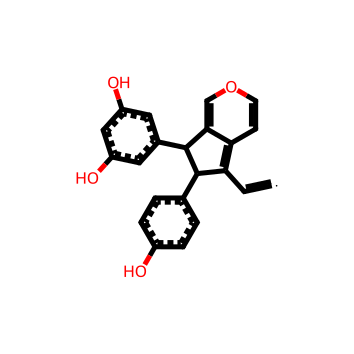 [CH]=CC1=C2C=COC=C2C(c2cc(O)cc(O)c2)C1c1ccc(O)cc1